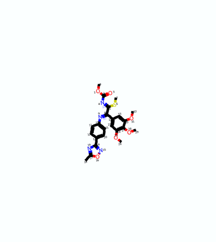 COC(=O)/N=C(SC)/C(=N/c1ccc(-c2noc(C)n2)cc1)c1cc(OC)c(OC)c(OC)c1